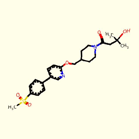 CC(C)(O)CC(=O)N1CCC(COc2ccc(-c3ccc(S(C)(=O)=O)cc3)cn2)CC1